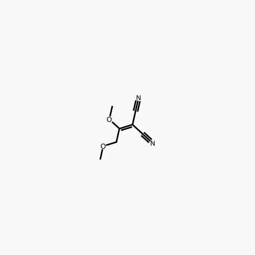 COCC(OC)=C(C#N)C#N